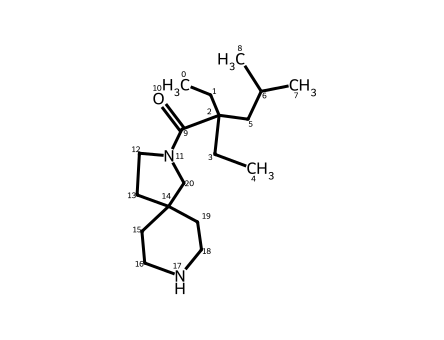 CCC(CC)(CC(C)C)C(=O)N1CCC2(CCNCC2)C1